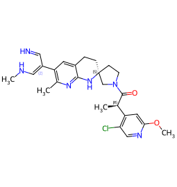 CN/C=C(\C=N)c1cc2c(nc1C)N[C@@]1(CC2)CCN(C(=O)[C@H](C)c2cc(OC)ncc2Cl)C1